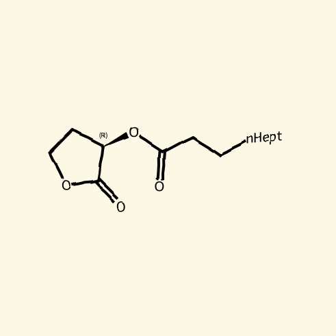 CCCCCCCCCC(=O)O[C@@H]1CCOC1=O